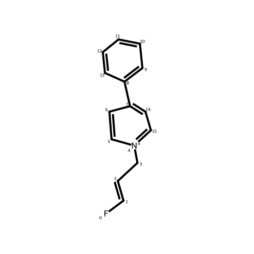 FC=CC[n+]1ccc(-c2ccccc2)cc1